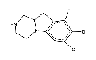 Fc1c(Cl)c(Cl)cc2c1CC1CNCCN21